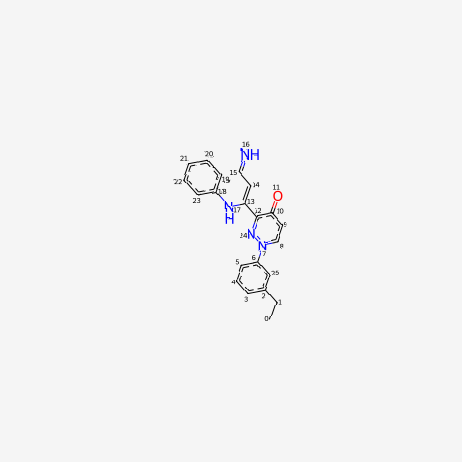 CCc1cccc(-n2ccc(=O)c(/C(=C/C=N)Nc3ccccc3)n2)c1